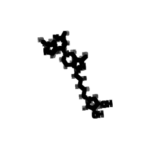 Cc1cc(N2CCc3c(c(C)nn3CCCCCN3C[C@@H](O)[C@@H](O)C3)C2)c2cnn(C)c2n1